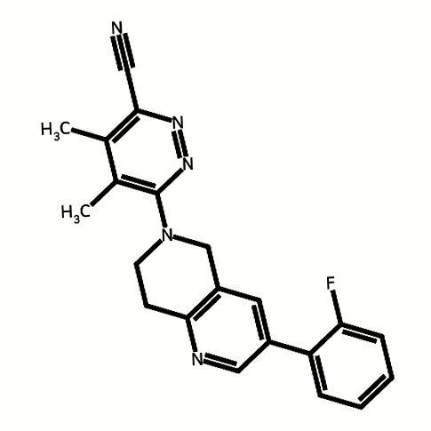 Cc1c(C#N)nnc(N2CCc3ncc(-c4ccccc4F)cc3C2)c1C